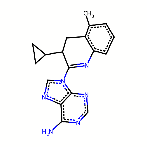 Cc1cccc2c1CC(C1CC1)C(n1cnc3c(N)ncnc31)=N2